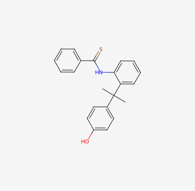 CC(C)(c1ccc(O)cc1)c1ccccc1NC(=S)c1ccccc1